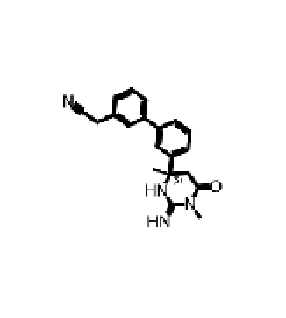 CN1C(=N)N[C@](C)(c2cccc(-c3cccc(CC#N)c3)c2)CC1=O